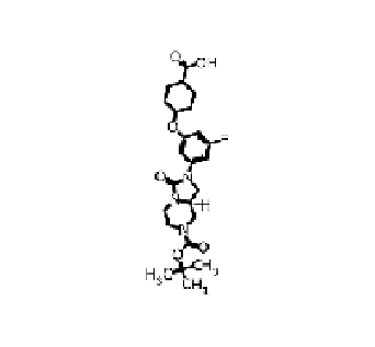 CC(C)(C)OC(=O)N1CCN2C(=O)N(c3cc(F)cc(OC4CCC(C(=O)O)CC4)c3)C[C@@H]2C1